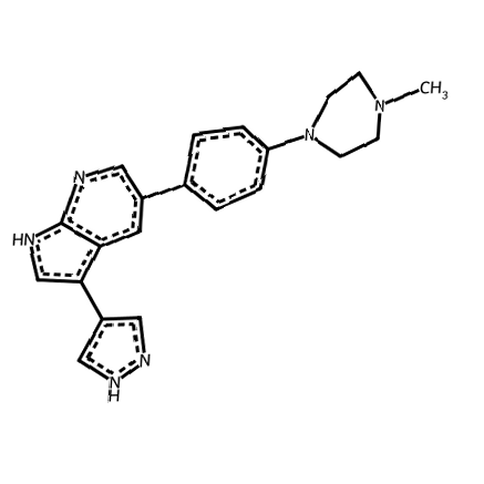 CN1CCN(c2ccc(-c3cnc4[nH]cc(-c5cn[nH]c5)c4c3)cc2)CC1